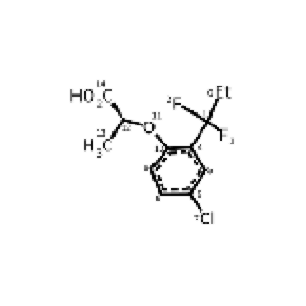 CCC(F)(F)c1cc(Cl)ccc1O[C@@H](C)C(=O)O